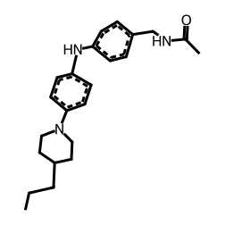 CCCC1CCN(c2ccc(Nc3ccc(CNC(C)=O)cc3)cc2)CC1